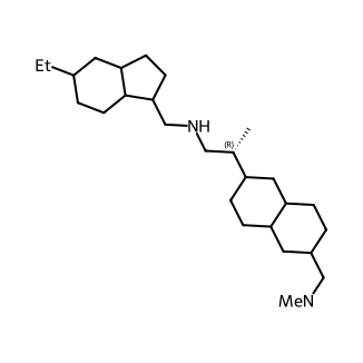 CCC1CCC2C(CNC[C@H](C)C3CCC4CC(CNC)CCC4C3)CCC2C1